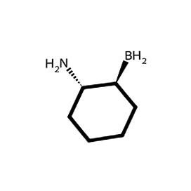 B[C@H]1CCCC[C@@H]1N